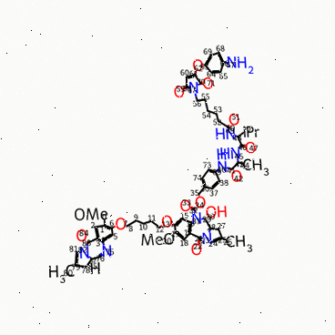 COc1cc2c(cc1OCCCCCOc1cc3c(cc1OC)C(=O)N1C=C(C)CC1C(O)N3C(=O)OCc1ccc(NC(=O)C(C)NC(=O)C(NC(=O)CCCCCN3C(=O)C=C(Oc4ccc(N)cc4)C3=O)C(C)C)cc1)N=C[C@H]1CC(C)=CN1C2=O